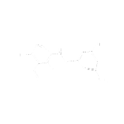 Cc1cc(C)cc(SNc2ccc(F)c(C=O)c2F)c1